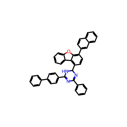 c1ccc(C2=NC(c3ccc(-c4ccc5ccccc5c4)c4oc5ccccc5c34)NC(c3ccc(-c4ccccc4)cc3)=N2)cc1